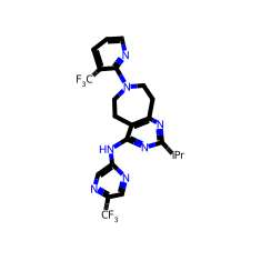 CC(C)c1nc2c(c(Nc3cnc(C(F)(F)F)cn3)n1)CCN(c1ncccc1C(F)(F)F)CC2